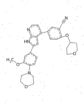 COc1cc(-c2cc3c(-c4ccc(OC5CCOCC5)c(C#N)c4)ccnc3[nH]2)ccc1N1CCOCC1